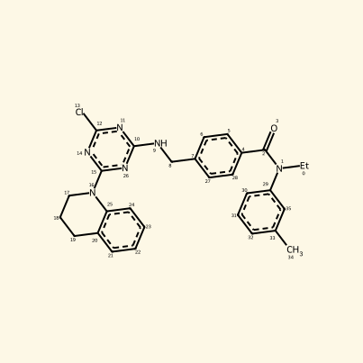 CCN(C(=O)c1ccc(CNc2nc(Cl)nc(N3CCCc4ccccc43)n2)cc1)c1cccc(C)c1